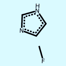 CF.c1c[nH]cn1